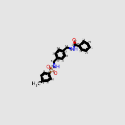 Cc1ccc(S(=O)(=O)NCc2ccc(CNC(=O)c3ccccc3)cc2)cc1